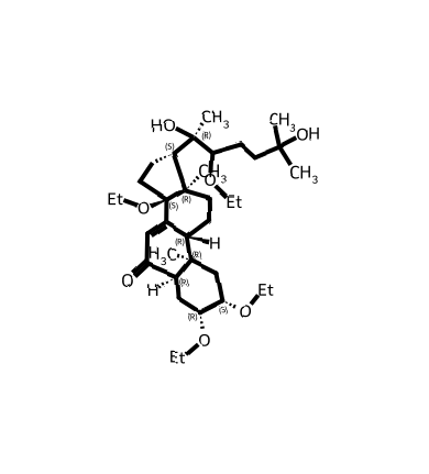 CCOC(CCC(C)(C)O)[C@](C)(O)[C@H]1CC[C@@]2(OCC)C3=CC(=O)[C@@H]4C[C@@H](OCC)[C@@H](OCC)C[C@]4(C)[C@H]3CC[C@]12C